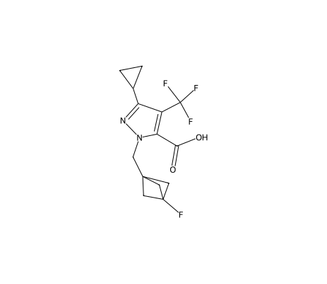 O=C(O)c1c(C(F)(F)F)c(C2CC2)nn1CC12CC(F)(C1)C2